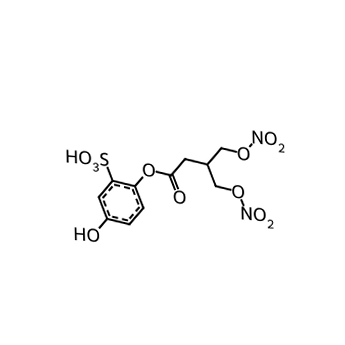 O=C(CC(CO[N+](=O)[O-])CO[N+](=O)[O-])Oc1ccc(O)cc1S(=O)(=O)O